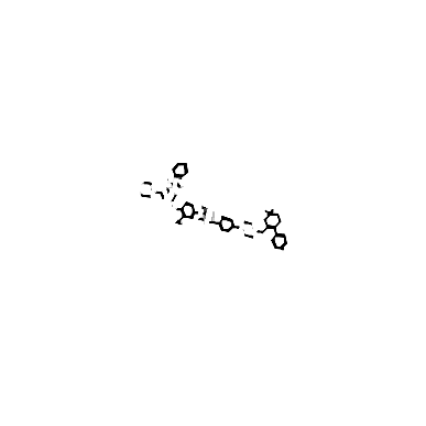 CC1(C)CCC(c2ccc(Cl)cc2)=C(CN2CCN(c3ccc(C(=O)NS(=O)(=O)c4ccc(N[C@H](CCN5CCOCC5)CS(=O)(=O)Nc5ccccc5)c(C(F)(F)F)c4)cc3)CC2)C1